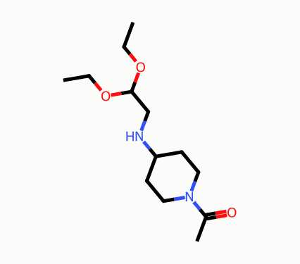 CCOC(CNC1CCN(C(C)=O)CC1)OCC